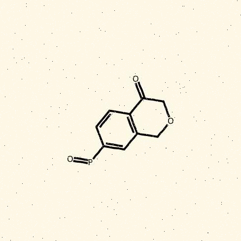 O=Pc1ccc2c(c1)COCC2=O